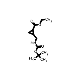 CCOC(=O)C1CC1CNC(=O)OC(C)(C)C